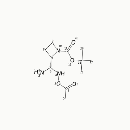 CC(=O)ONC(N)[C@@H]1CCN1C(=O)OC(C)(C)C